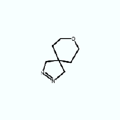 C1CC2(CCO1)CN=NC2